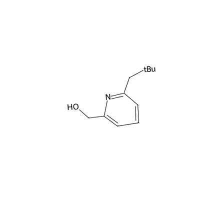 CC(C)(C)Cc1cccc(CO)n1